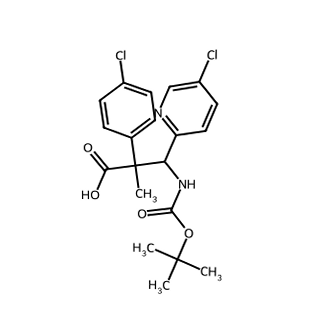 CC(C)(C)OC(=O)NC(c1ccc(Cl)cn1)C(C)(C(=O)O)c1ccc(Cl)cc1